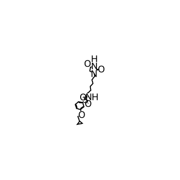 O=C1CN(CCCCCCNS(=O)(=O)c2cccc(OCC3CC3)c2)C(=O)N1